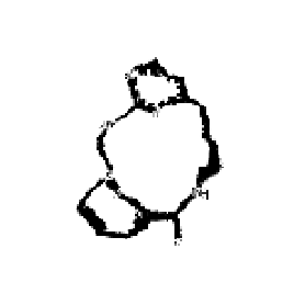 O=C1NCCCc2ccnc(n2)NCS2=NC1=CC=C2